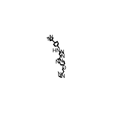 Cn1cc(-c2ccc(CNc3cc(-c4cnc5cc(OCCc6nccn6C)ccn45)ncn3)cc2)cn1